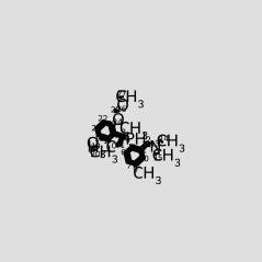 CCC(C)(Pc1ccc(C)cc1CN(C)C)c1cc(OC)ccc1OCOC